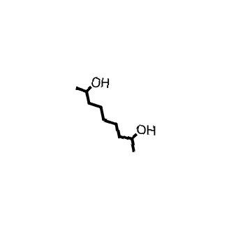 CC(O)CCCCCC(C)O